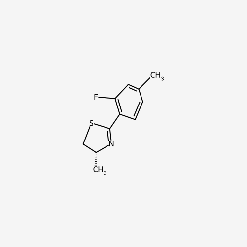 Cc1ccc(C2=N[C@H](C)CS2)c(F)c1